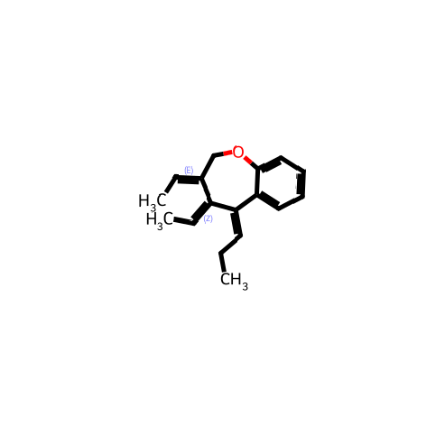 C/C=C1/C(=CCC)c2ccccc2OC/C1=C/C